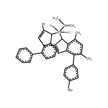 CC1=Cc2c(-c3ccc(C(C)(C)C)cc3)c(C)cc(C)c2[CH]1[Zr]([Cl])([Cl])([CH]1C(C(C)C)=Cc2c(-c3ccccc3)cccc21)[SiH](C)C